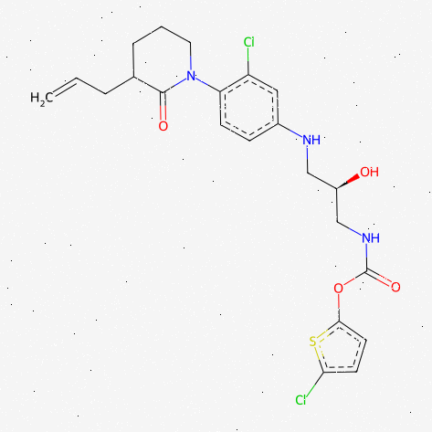 C=CCC1CCCN(c2ccc(NC[C@@H](O)CNC(=O)Oc3ccc(Cl)s3)cc2Cl)C1=O